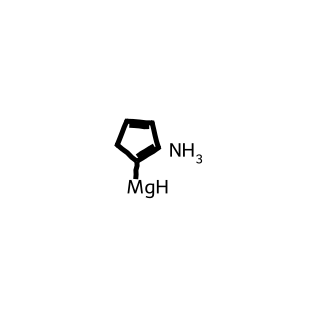 N.[MgH][C]1=CC=CC1